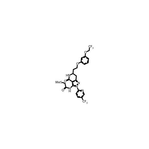 CSCC(=O)Nc1c2c(nn1-c1ccc(C(F)(F)F)cn1)CC(CCOc1cccc(OCC(F)(F)F)c1)NC2=O